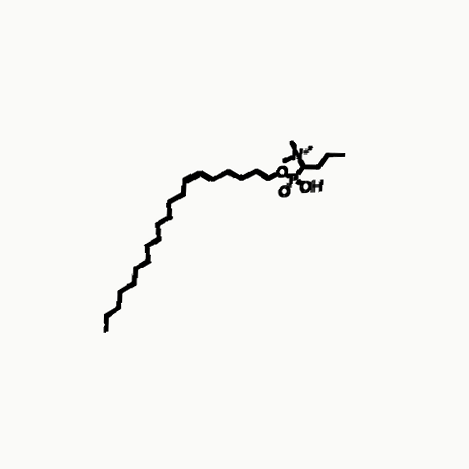 CCCCCCCCCCCCC/C=C\CCCCCOP(=O)(O)C(CCC)[N+](C)(C)C